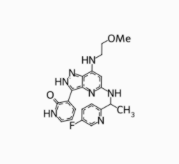 COCCNc1cc(NC(C)c2ccc(F)cn2)nc2c(-c3ccc[nH]c3=O)[nH]nc12